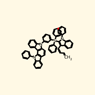 C=C/C=C\c1c([Si](c2ccccc2)(c2ccccc2)c2cccc(-n3c4ccccc4c4c3ccc3c5ccccc5n(-c5ccccc5)c34)c2)n(-c2ccccc2)c2ccccc12